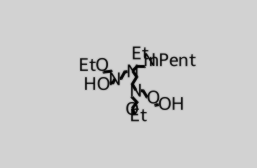 CCCCCN(CC)CCN(CCN(CO)CCOCC)CCN(CCOCC)CCOCO